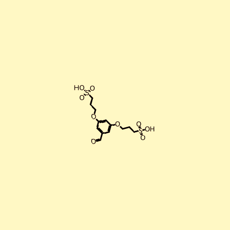 O=Cc1cc(OCCCS(=O)(=O)O)cc(OCCCS(=O)(=O)O)c1